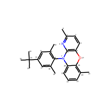 Cc1ccc2c(n1)N(c1c(C)cc(C(C)(C)C)cc1C)c1cccc(C)c1O2